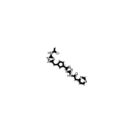 CC(=O)Nc1nnc(CC2CCC(c3nnc(NC(=O)Cc4ccncn4)s3)C2)s1